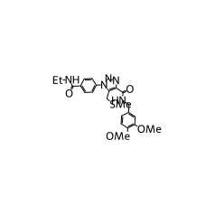 CCNC(=O)c1ccc(-n2nnc(C(=O)NCc3ccc(OC)c(OC)c3)c2CSC)cc1